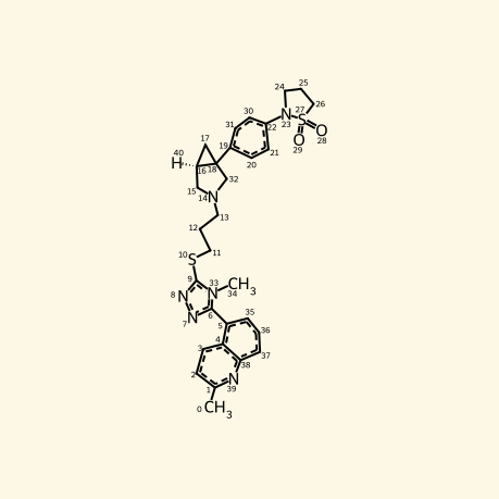 Cc1ccc2c(-c3nnc(SCCCN4C[C@H]5CC5(c5ccc(N6CCCS6(=O)=O)cc5)C4)n3C)cccc2n1